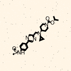 CC(C)OC(=O)N1CCC(N(Cc2cnc(-c3ccc(N[S+](C)[O-])cc3)cn2)C2CC2)CC1